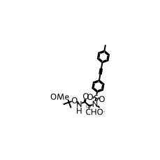 COC(C)(C)ONC(=O)[C@H]([C]=O)N(C)S(=O)(=O)c1ccc(C#Cc2ccc(C)cc2)cc1